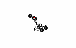 Cc1ccccc1Cn1c(=O)c(C(=O)NCCCN2C3CC4CC2CC(c2ccccc2)(C4)C3)c(O)c2ccccc21